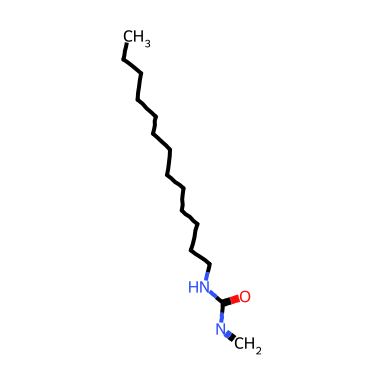 C=NC(=O)NCCCCCCCCCCCCC